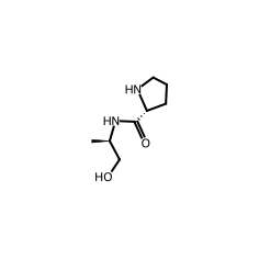 C[C@H](CO)NC(=O)[C@H]1CCCN1